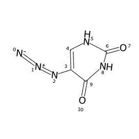 [N-]=[N+]=Nc1c[nH]c(=O)[nH]c1=O